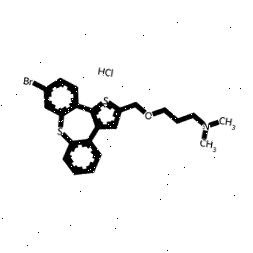 CN(C)CCCOCc1cc2c(s1)-c1ccc(Br)cc1Sc1ccccc1-2.Cl